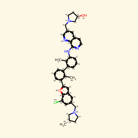 Cc1c(Nc2nccc3cc(CN4CC[C@@H](O)C4)cnc23)cccc1-c1cccc(-c2cc3cc(CN4CC[C@H](C)C4)cc(Cl)c3o2)c1C